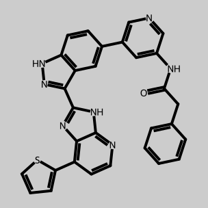 O=C(Cc1ccccc1)Nc1cncc(-c2ccc3[nH]nc(-c4nc5c(-c6cccs6)ccnc5[nH]4)c3c2)c1